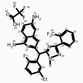 CCc1ccc(F)c(C(c2cc3cc(N)ccc3c(N)n2)c2nc(-c3ccccc3C(F)(F)F)nn2C)c1.O=C(O)C(F)(F)F